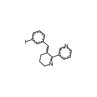 Ic1cccc(C=C2CCCN=C2c2cccnc2)c1